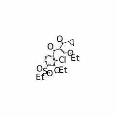 CCOC=C(C(=O)c1ccc(S(=O)(=O)CC)c(OCC)c1Cl)C(=O)C1CC1